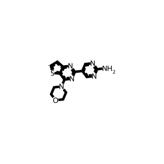 Nc1ncc(-c2nc(N3CCOCC3)c3s[c]cc3n2)cn1